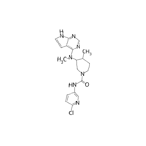 CC1CCN(C(=O)Nc2ccc(Cl)nc2)CC1N(C)c1ncnc2[nH]ccc12